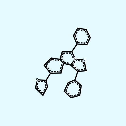 c1ccc(-c2cnn3c(-c4ccccc4)cc4ccc(-c5cccs5)cc4c23)cc1